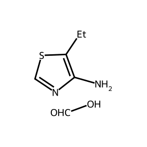 CCc1scnc1N.O=CO